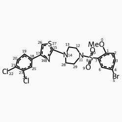 COc1ccc(Br)cc1S(=O)(=O)N1CCN(c2nc(-c3ccc(Cl)c(Cl)c3)cs2)CC1